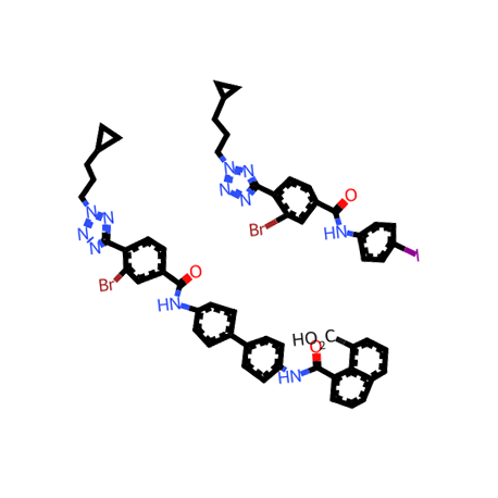 O=C(Nc1ccc(-c2ccc(NC(=O)c3cccc4cccc(C(=O)O)c34)cc2)cc1)c1ccc(-c2nnn(CCCC3CC3)n2)c(Br)c1.O=C(Nc1ccc(I)cc1)c1ccc(-c2nnn(CCCC3CC3)n2)c(Br)c1